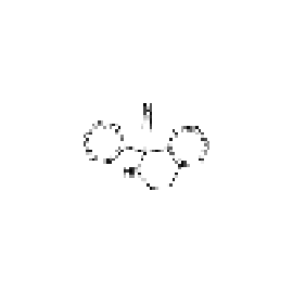 N#CC1(c2ccccc2)NCCc2ccccc21